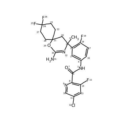 CC1(c2cc(NC(=O)c3ncc(Cl)cc3F)ccc2F)CC2(CCC(F)(F)CC2)OC(N)=N1